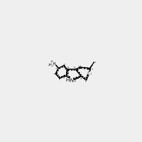 Cc1ccc2[nH]c3ccc(N)cc3c2c1